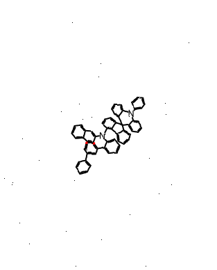 c1ccc(-c2cccc(-c3ccccc3N(c3ccc4ccccc4c3)c3cccc4c3-c3ccccc3C43c4ccccc4N(c4ccccc4)c4ccccc43)c2)cc1